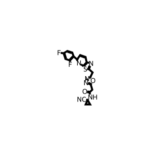 N#CC1(NC(=O)Cc2nnc(Cc3nc4ccc(-c5ccc(F)cc5F)nc4s3)o2)CC1